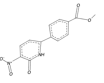 COC(=O)c1ccc(-c2ccc([N+](=O)[O-])c(=O)[nH]2)cc1